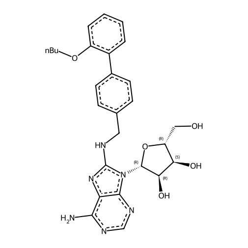 CCCCOc1ccccc1-c1ccc(CNc2nc3c(N)ncnc3n2[C@@H]2O[C@H](CO)[C@@H](O)[C@H]2O)cc1